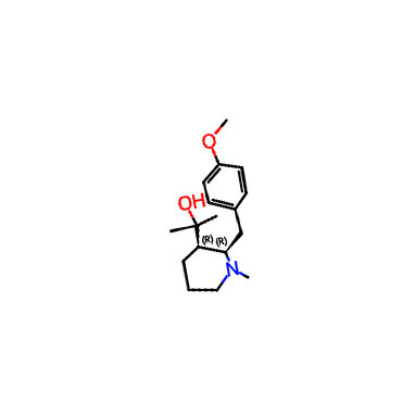 COc1ccc(C[C@@H]2[C@H](C(C)(C)O)CCCN2C)cc1